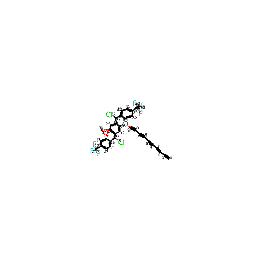 C#CC#CC#CC#CC#COc1cc(C(Cl)c2ccc(C(F)(F)F)cc2)c(OC)cc1C(Cl)c1ccc(C(F)(F)F)cc1